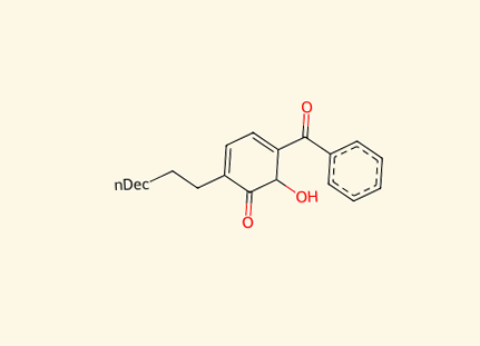 CCCCCCCCCCCCC1=CC=C(C(=O)c2ccccc2)C(O)C1=O